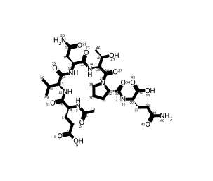 CC(=O)N[C@@H](CCC(=O)O)C(=O)N[C@H](C(=O)N[C@@H](CC(N)=O)C(=O)N[C@H](C(=O)N1CCC[C@H]1C(=O)N[C@@H](CCC(N)=O)C(=O)O)[C@@H](C)O)C(C)C